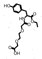 CCOC(=O)C(Cc1ccc(O)cc1)NC(=O)COCCOCC(=O)O